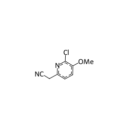 COc1ccc(CC#N)nc1Cl